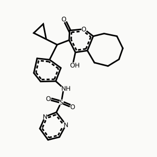 O=c1oc2c(c(O)c1C(c1cccc(NS(=O)(=O)c3ncccn3)c1)C1CC1)CCCCCC2